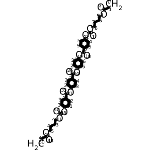 C=CC(=O)OCCCCOC(=O)Oc1ccc(C(=O)Oc2ccc(OC(=O)c3ccc(OC(=O)c4ccc(OC(=O)OCCCCOC(=O)C=C)cc4)cc3)cc2)cc1